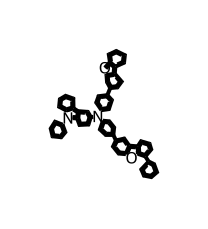 c1ccc(-c2cccc3c2oc2ccc(-c4ccc(N(c5ccc(-c6ccc7c(c6)oc6ccccc67)cc5)c5ccc6c(c5)c5ccccc5n6-c5ccccc5)cc4)cc23)cc1